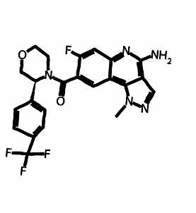 Cn1ncc2c(N)nc3cc(F)c(C(=O)N4CCOC[C@@H]4c4ccc(C(F)(F)F)cc4)cc3c21